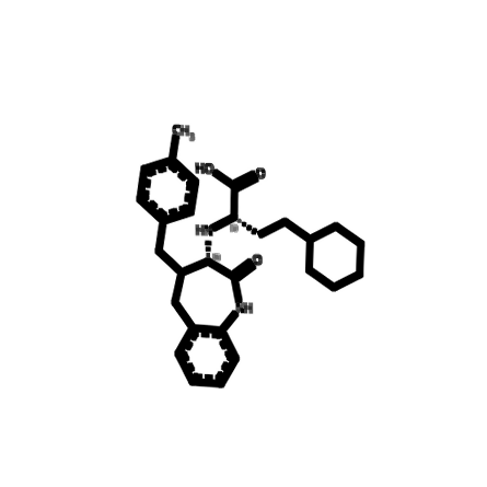 Cc1ccc(CC2Cc3ccccc3NC(=O)[C@H]2N[C@@H](CCC2CCCCC2)C(=O)O)cc1